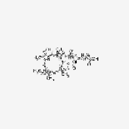 C=CC1=C(C)c2cc3[nH]c(cc4nc(cc5[nH]c(cc1n2)c(C)c5CCC(=O)NCCCCC(N)C(=O)O)C(CCC(=O)O)C4C)c(C)c3C=C